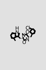 Cc1cccc2[nH]cc(C[C@H]3C(=O)N(C)[C@@H](Cc4cccc(Cl)c4)C(=O)N3C)c12